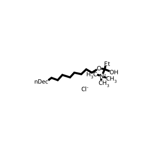 CCCCCCCCCCCCCCCCCCOC(O)(CC)[N+](C)(C)C.[Cl-]